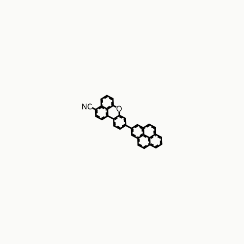 N#Cc1ccc2c3c(cccc13)Oc1cc(-c3cc4ccc5cccc6ccc(c3)c4c56)ccc1-2